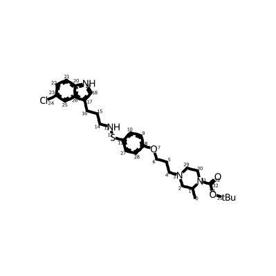 CC1CN(CCCOc2ccc(SNCCCc3c[nH]c4ccc(Cl)cc34)cc2)CCN1C(=O)OC(C)(C)C